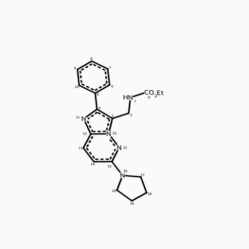 CCOC(=O)NCc1c(-c2ccccc2)nc2ccc(N3CCCC3)nn12